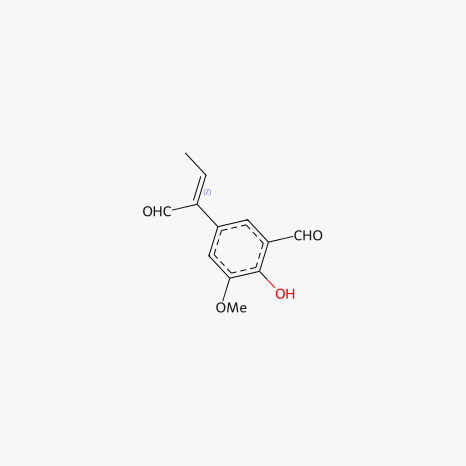 C/C=C(\C=O)c1cc(C=O)c(O)c(OC)c1